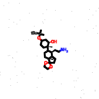 CC(C)(C)[Si](C)(C)OC1CC[C@](C)(C2CC[C@@]3(C)C(CCC34OCCO4)[C@@H]2CCN)[C@@H](O)C1